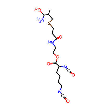 CC(CSCCC(=O)NCCOC(=O)C(CCCCN=C=O)N=C=O)C(N)O